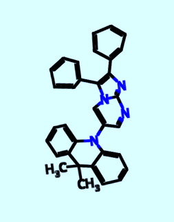 CC1(C)c2ccccc2N(c2cnc3nc(-c4ccccc4)c(-c4ccccc4)n3c2)c2ccccc21